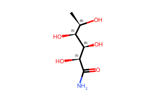 C[C@@H](O)[C@H](O)[C@@H](O)[C@H](O)C(N)=O